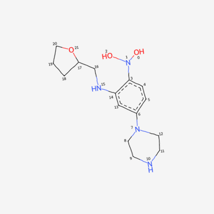 ON(O)c1ccc(N2CCNCC2)cc1NCC1CCCO1